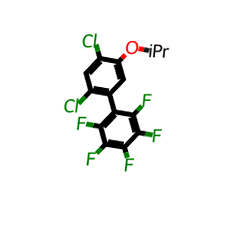 CC(C)Oc1cc(-c2c(F)c(F)c(F)c(F)c2F)c(Cl)cc1Cl